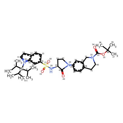 CC(C)[Si](C(C)C)(C(C)C)n1ccc2ccc(S(=O)(=O)N[C@H]3CCN(c4ccc5c(c4)CN(C(=O)OC(C)(C)C)CC5)C3=O)cc21